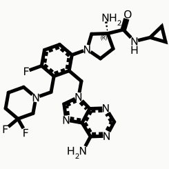 Nc1ncnc2c1ncn2Cc1c(N2CC[C@](N)(C(=O)NC3CC3)C2)ccc(F)c1CN1CCCC(F)(F)C1